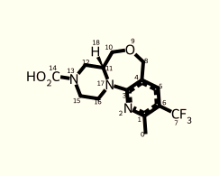 Cc1nc2c(cc1C(F)(F)F)COC[C@H]1CN(C(=O)O)CCN21